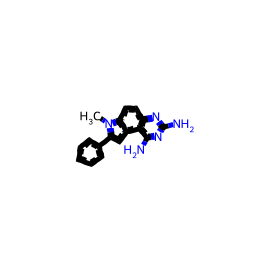 Cn1c(-c2ccccc2)cc2c3c(N)nc(N)nc3ccc21